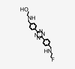 OCCNCc1ccc(-c2nnc(-c3ccc(CNCCF)cc3)nn2)cc1